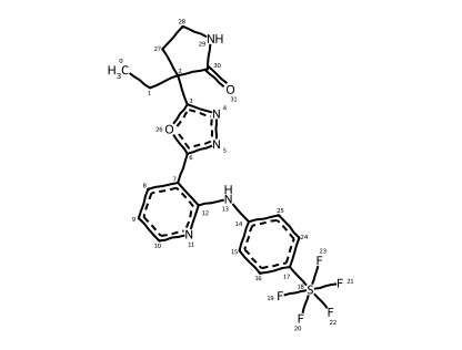 CCC1(c2nnc(-c3cccnc3Nc3ccc(S(F)(F)(F)(F)F)cc3)o2)CCNC1=O